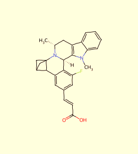 C[C@@H]1Cc2c(n(C)c3ccccc23)[C@H]2c3c(F)cc(/C=C/C(=O)O)cc3C3C4CC3(C4)N21